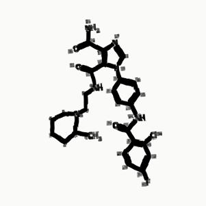 CC1CCCCN1CCNC(=O)c1c(C(N)=O)ncn1-c1ccc(NC(=O)c2ccc(F)cc2Cl)cc1